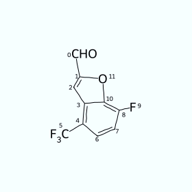 O=Cc1cc2c(C(F)(F)F)ccc(F)c2o1